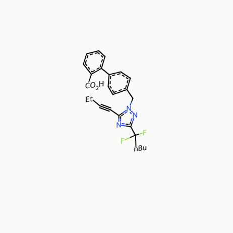 CCC#Cc1nc(C(F)(F)CCCC)nn1Cc1ccc(-c2ccccc2C(=O)O)cc1